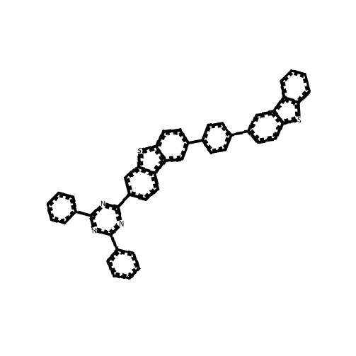 c1ccc(-c2nc(-c3ccccc3)nc(-c3ccc4c(c3)sc3ccc(-c5ccc(-c6ccc7sc8ccccc8c7c6)cc5)cc34)n2)cc1